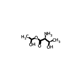 CC(O)OC(=O)[C@@H](N)[C@@H](C)O